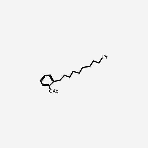 CC(=O)Oc1ccccc1CCCCCCCCCC(C)C